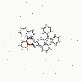 N/C(=C1/C=CC=C/C1=N/Cc1cccc2oc3c4ccccc4c(N(c4ccccc4)c4ccccc4)cc3c12)c1ccccc1